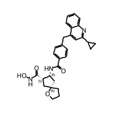 O=C(N[C@@H]1C[C@@]2(CCCO2)C[C@@H]1C(=O)NO)c1ccc(Cc2cc(C3CC3)nc3ccccc23)cc1